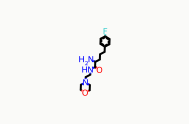 NC(CCCc1ccc(F)cc1)C(=O)NCCN1CCOCC1